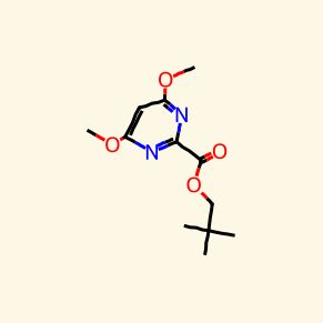 COc1cc(OC)nc(C(=O)OCC(C)(C)C)n1